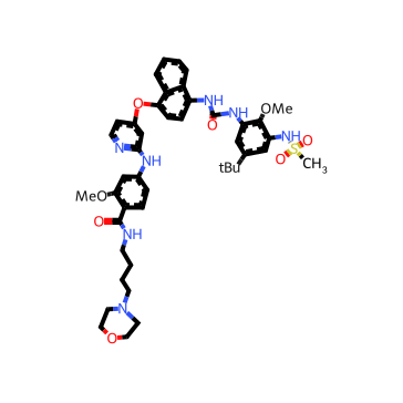 COc1cc(Nc2cc(Oc3ccc(NC(=O)Nc4cc(C(C)(C)C)cc(NS(C)(=O)=O)c4OC)c4ccccc34)ccn2)ccc1C(=O)NCCCCN1CCOCC1